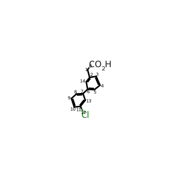 O=C(O)Cc1cccc(-c2cccc(Cl)c2)c1